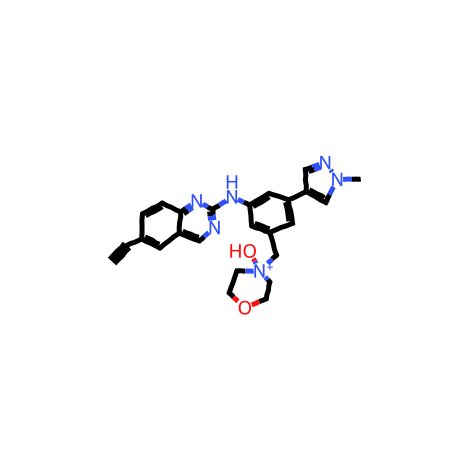 C#Cc1ccc2nc(Nc3cc(C[N+]4(O)CCOCC4)cc(-c4cnn(C)c4)c3)ncc2c1